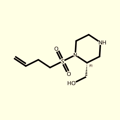 C=CCCS(=O)(=O)N1CCNC[C@@H]1CO